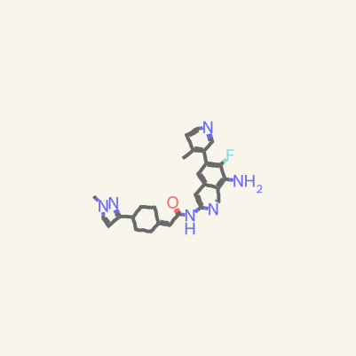 Cc1ccncc1-c1cc2cc(NC(=O)C=C3CCC(c4ccn(C)n4)CC3)ncc2c(N)c1F